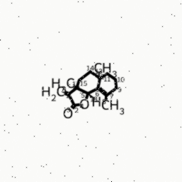 C=C1C(=O)O[C@H]2C3=C(C)CCC[C@]3(C)CC[C@@]12C